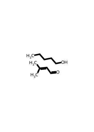 CC(C)=CC=O.CCCCCO